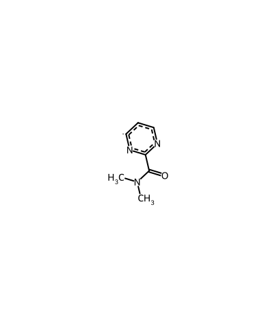 CN(C)C(=O)c1n[c]ccn1